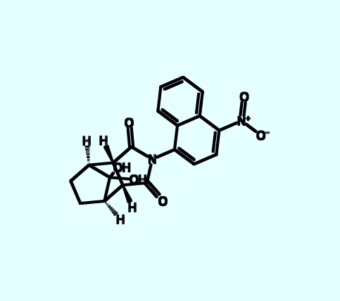 O=C1[C@@H]2[C@H](C(=O)N1c1ccc([N+](=O)[O-])c3ccccc13)[C@H]1CC[C@@H]2C1(O)O